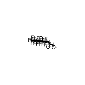 [O]CC([O])CC(F)(F)C(F)(F)C(F)(F)C(F)(F)C(F)(F)C(F)(F)F